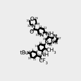 Cc1c(NC(c2ccc(C(C)(C)C)cc2)C(F)(F)F)cccc1N1C=C(Nc2ccc(C(=O)N3CCOCC3)cn2)C2=NC=C[N+]2C1